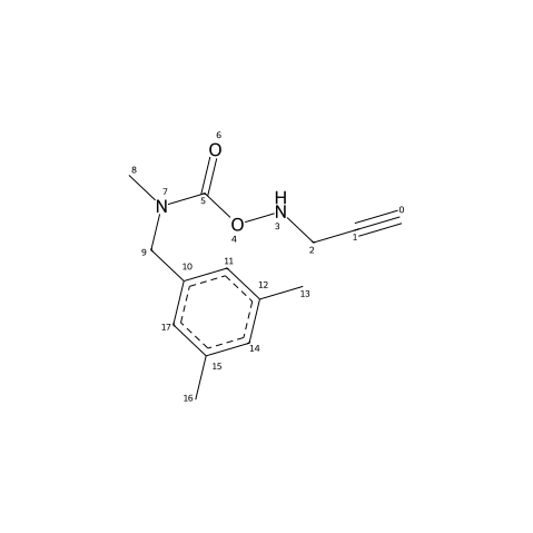 C#CCNOC(=O)N(C)Cc1cc(C)cc(C)c1